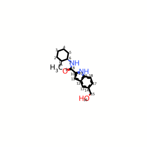 C[C@H]1CCCC[C@H]1NC(=O)c1cc2cc(CO)ccc2[nH]1